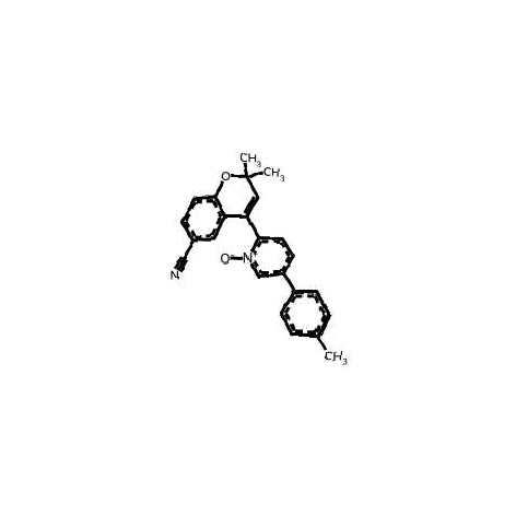 Cc1ccc(-c2ccc(C3=CC(C)(C)Oc4ccc(C#N)cc43)[n+]([O-])c2)cc1